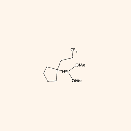 CO[SiH](OC)C1(CCC(F)(F)F)CCCC1